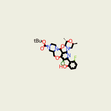 C[C@H]1CN(c2nc(-c3c(O)cccc3F)c(Cl)c3c2C(=O)N2CCN(C(=O)OC(C)(C)C)CC2CO3)C[C@H](C)O1